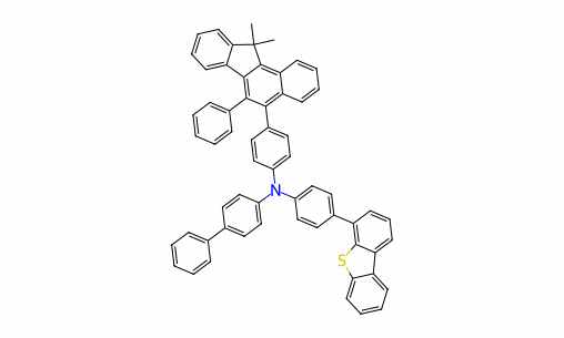 CC1(C)c2ccccc2-c2c(-c3ccccc3)c(-c3ccc(N(c4ccc(-c5ccccc5)cc4)c4ccc(-c5cccc6c5sc5ccccc56)cc4)cc3)c3ccccc3c21